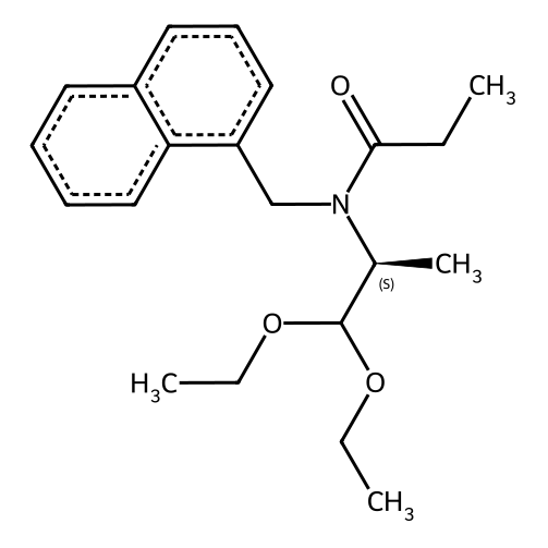 CCOC(OCC)[C@H](C)N(Cc1cccc2ccccc12)C(=O)CC